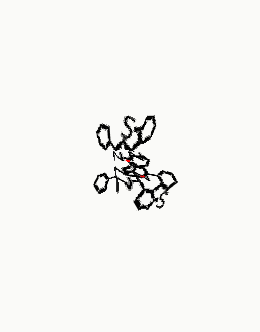 c1ccc(-c2nc(-c3ccccc3)nc(-c3cccc4sc5cccc(-c6cccc(-c7nc(-c8ccccc8)c8sc9ccccc9c8n7)c6)c5c34)n2)cc1